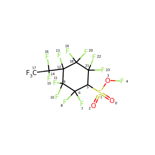 O=S(=O)(OF)C1C(F)(F)C(F)(F)C(F)(C(F)(F)C(F)(F)F)C(F)(F)C1(F)F